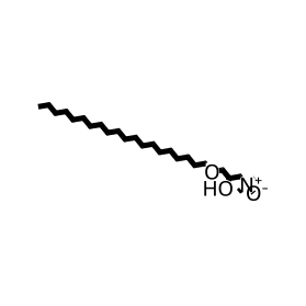 CCCCCCCCCCCCCCCCCCCCOCC(O)C[N+](C)(C)[O-]